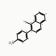 O=[N+]([O-])c1ccc(-c2ccc3ccccc3c2[S])cc1